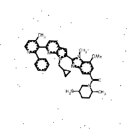 COc1cc(C(=O)N2C[C@H](N)CC[C@@H]2C)cc2nc(-c3cc4ccc(-c5c(C)ccnc5-c5ccccc5)nc4n3CC3CC3)n(C)c12